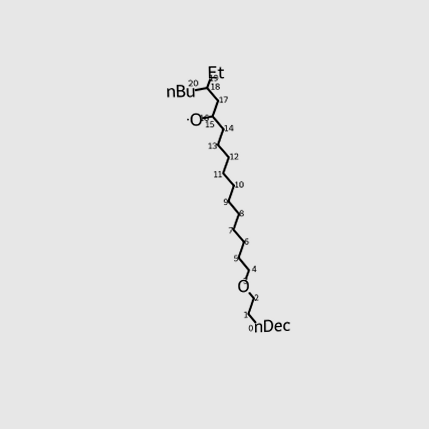 CCCCCCCCCCCCOCCCCCCCCCCCC([O])CC(CC)CCCC